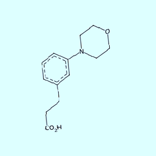 O=C(O)CCc1cccc(N2CCOCC2)c1